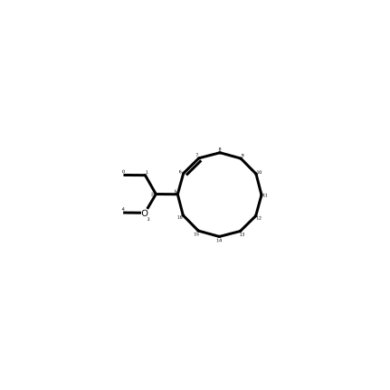 CCC(OC)C1C=CCCCCCCCCC1